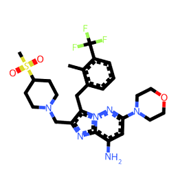 Cc1c(Cc2c(CN3CCC(S(C)(=O)=O)CC3)nc3c(N)cc(N4CCOCC4)nn23)cccc1C(F)(F)F